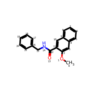 COc1cc2ccccc2cc1C(=O)NCc1cc[c]cc1